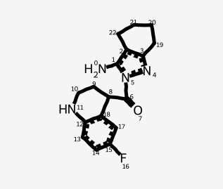 Nc1c2c(nn1C(=O)C1CCNc3ccc(F)cc31)CCCC2